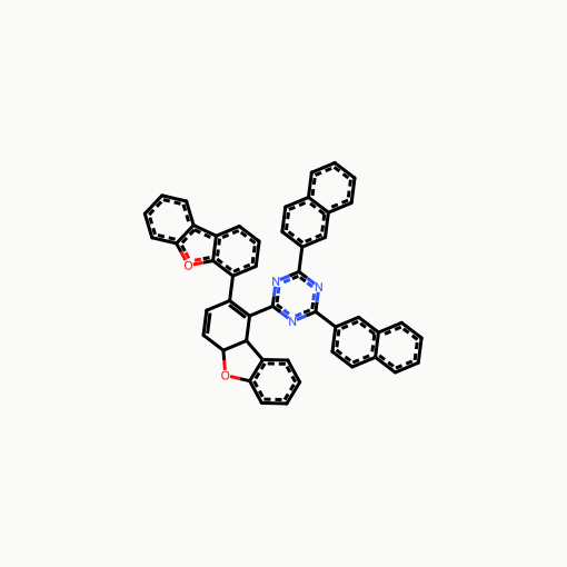 C1=CC2Oc3ccccc3C2C(c2nc(-c3ccc4ccccc4c3)nc(-c3ccc4ccccc4c3)n2)=C1c1cccc2c1oc1ccccc12